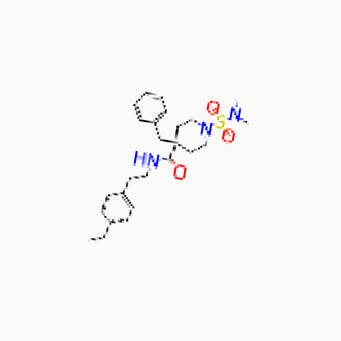 CCc1ccc(CCNC(=O)C2(Cc3ccccc3)CCN(S(=O)(=O)N(C)C)CC2)cc1